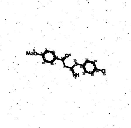 COc1ccc(C(=O)CC(=N)Sc2ccc(Cl)cc2)cc1